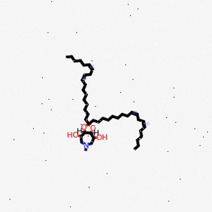 CCCCC/C=C\C/C=C\CCCCCCCCC1(CCCCCCCC/C=C\C/C=C\CCCCC)O[C@@H]2C(O)CN(C)CC(O)[C@@H]2O1